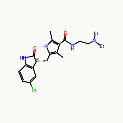 CCN(CC)CCNC(=O)c1c(C)[nH]c(C[C@H]2C(=O)Nc3ccc(Cl)cc32)c1C